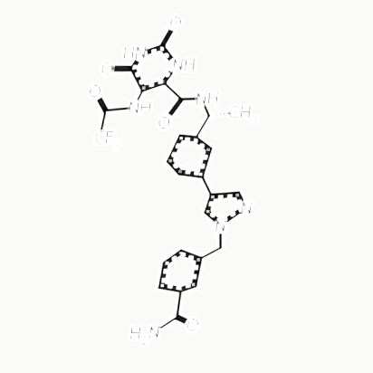 C[C@@H](NC(=O)c1[nH]c(=O)[nH]c(=O)c1NC(=O)C(F)(F)F)c1cccc(-c2cnn(Cc3cccc(C(N)=O)c3)c2)c1